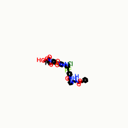 O=C(NCCN1CCC[C@H]1C(=O)NC1CCC(C(F)(F)c2cc(Cl)nc(N3CCN(S(=O)(=O)c4ccc5c(c4)OC[C@@H]4[C@H](CO)OC(=O)N54)CC3)c2)CC1)OCc1ccccc1